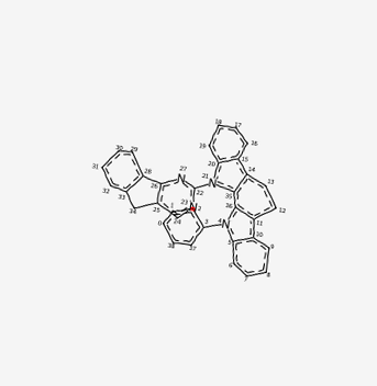 c1ccc(-n2c3ccccc3c3ccc4c5ccccc5n(-c5ncc6c(n5)-c5ccccc5C6)c4c32)cc1